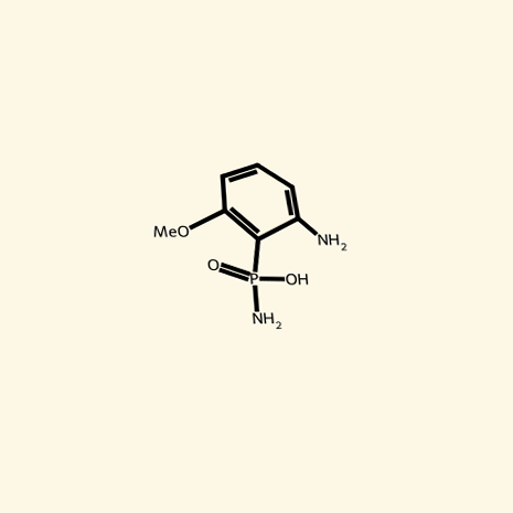 COc1cccc(N)c1P(N)(=O)O